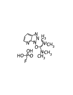 CN(C)C(On1nnc2cccnc21)=[N+](C)C.O=P(O)(O)F